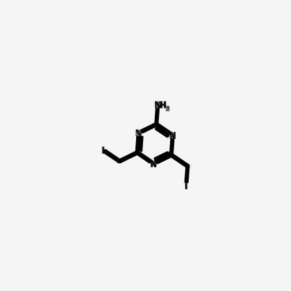 Nc1nc(CI)nc(CI)n1